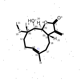 C=C1C(=O)O[C@@H]2[C@@H](O)[C@@](I)(SI)CC/C=C(\C)CC[C@@H]12